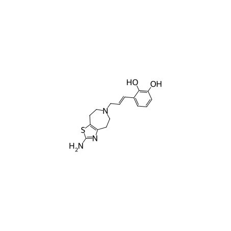 Nc1nc2c(s1)CCN(C/C=C/c1cccc(O)c1O)CC2